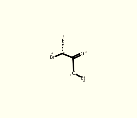 CCOC(=O)[C@@H](F)Br